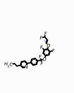 CCCc1ccc(-c2ccc(C(F)(F)Oc3cc(F)c(O/C=C/C(F)F)c(F)c3)cc2)nc1